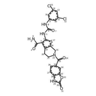 NC(=O)c1c(NC(=O)Nc2cc(Cl)cc(Cl)c2)sc2c1CCN(C(=O)c1ccc3[nH]c(=O)oc3c1)C2